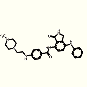 CN1CCN(CCNc2ccc(C(=O)Nc3ccc(Nc4ccccc4)c4c3C(=O)NC4)cc2)CC1